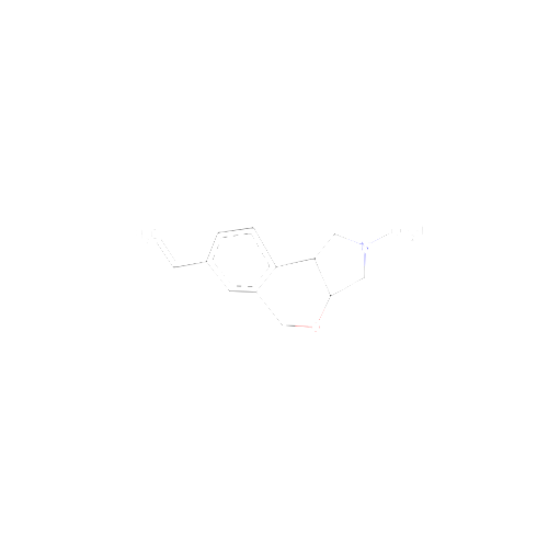 C=Cc1ccc2c(c1)COC1CN(C(=O)O)CC21